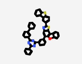 c1ccc(-c2cccc(-c3nc(-c4ccccc4)nc(-c4cccc(-c5cc6nc(-c7ccc8sc9ccccc9c8c7)sc6c6c5oc5ccccc56)c4)n3)c2)cc1